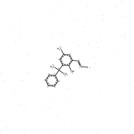 Cc1cc(/C=N/I)c(O)c(C(C)(C)c2ccccc2)c1